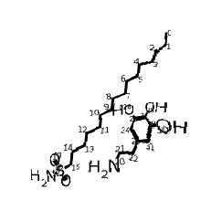 CCCCCCCCCCCCCCCCS(N)(=O)=O.NCCc1cc(O)c(O)c(O)c1